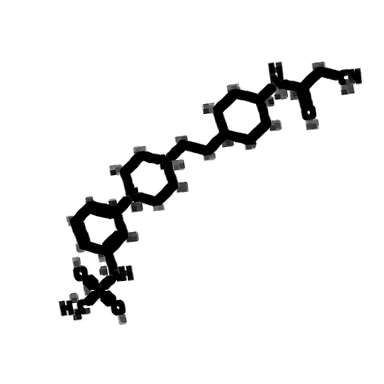 CS(=O)(=O)Nc1cccc(N2CCN(CCC3CCC(NC(=O)CC#N)CC3)CC2)c1